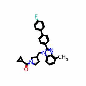 Cc1cccc2c1nc(-c1ccc(-c3ccc(F)cc3)cc1)n2CC1CCN(C(=O)C2CC2)C1